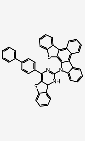 c1ccc(-c2ccc(C3=C4Sc5ccccc5C4NC(n4c5ccccc5c5c6ccccc6c6c7ccccc7sc6c54)=N3)cc2)cc1